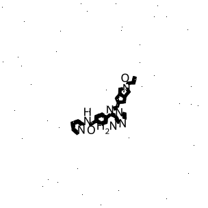 C=CC(=O)N1CC2CC(c3nc(-c4ccc(C(=O)Nc5ccccn5)cc4)c4c(N)nccn34)CC2C1